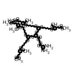 COC(=O)C=Cc1ccc(OCCCCCCOc2cc(COc3cc(OCc4cc(OCCCCCCOc5ccc(C=CC(=O)OC)cc5OC)cc(OCCCCCCOc5ccc(C=CC(=O)OC)cc5OC)c4)cc(C(=O)OCCOC(=O)c4cc(N)cc(N)c4)c3)cc(OCCCCCCOc3ccc(C=CC(=O)OC)cc3OC)c2)c(OC)c1